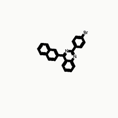 Brc1ccc(-c2nc(-c3ccc4ccccc4c3)c3ccccc3n2)cc1